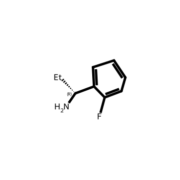 CC[C@@H](N)c1ccccc1F